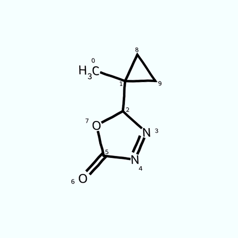 CC1(C2N=NC(=O)O2)CC1